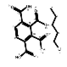 CCCCCCl.O=C(O)c1ccc(C(=O)O)c(C(=O)O)c1C(=O)O